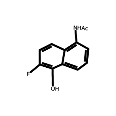 CC(=O)Nc1cccc2c(O)c(F)ccc12